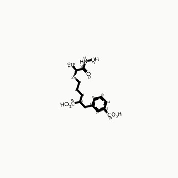 CCC(SCCCC(Cc1cccc(C(=O)O)c1)C(=O)O)C(=O)NO